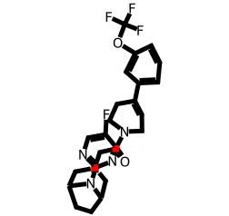 O=C(CN1CC2CCC(C1)N2c1ncc(F)cn1)N1CC=C(c2cccc(OC(F)(F)F)c2)CC1